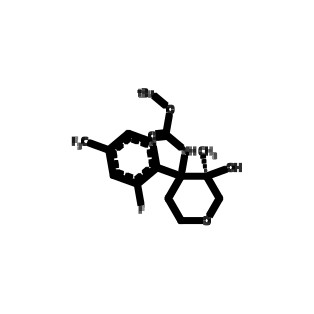 CC(C)(C)OC(=O)NC1(c2ncc(C(F)(F)F)cc2F)CCOC[C@]1(C)O